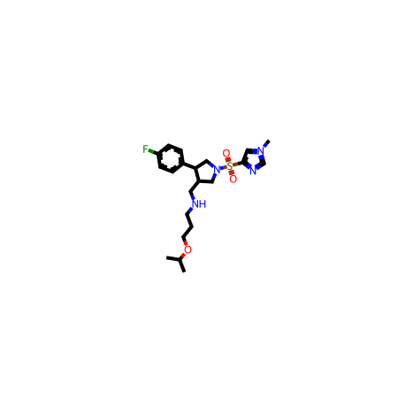 CC(C)OCCCNCC1CN(S(=O)(=O)c2cn(C)cn2)CC1c1ccc(F)cc1